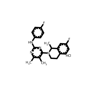 Cc1nc(Nc2ccc(F)cc2)nc(N2CCc3ccc(F)cc3C2C)c1C.Cl